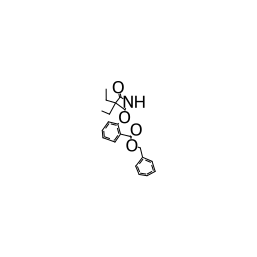 CCC1(CC)C(=O)NC1Oc1ccccc1C(=O)OCc1ccccc1